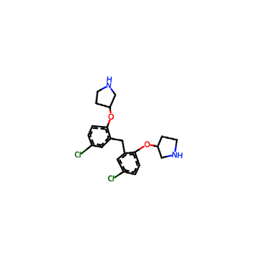 Clc1ccc(OC2CCNC2)c(Cc2cc(Cl)ccc2OC2CCNC2)c1